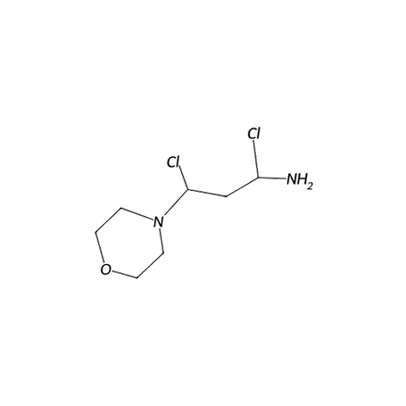 NC(Cl)CC(Cl)N1CCOCC1